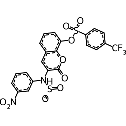 O=c1oc2c(OS(=O)(=O)c3ccc(C(F)(F)F)cc3)cccc2cc1N(c1cccc([N+](=O)[O-])c1)[SH](=O)=O